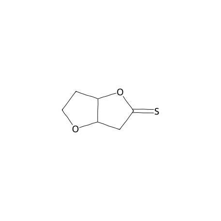 S=C1CC2OCCC2O1